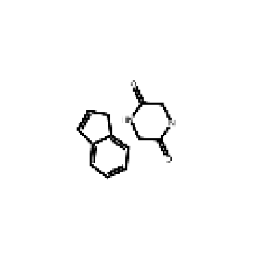 C1=Cc2ccccc2C1.O=C1CNC(=O)CN1